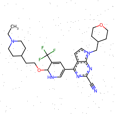 CCN1CCC(CCOC2NC=C(c3nc(C#N)nc4c3ccn4CC3CCOCC3)C=C2C(F)(F)F)CC1